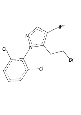 CC(C)c1cnn(-c2c(Cl)cccc2Cl)c1CCBr